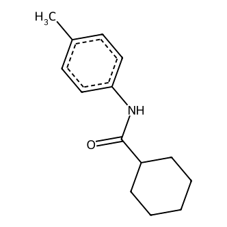 Cc1ccc(NC(=O)C2CCCCC2)cc1